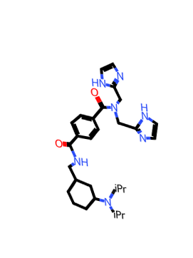 CC(C)N(C(C)C)C1CCCC(CNC(=O)c2ccc(C(=O)N(Cc3ncc[nH]3)Cc3ncc[nH]3)cc2)C1